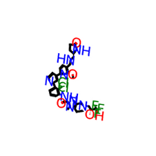 COc1nc(-c2ccnc(-c3cccc(NC(=O)c4nc5c(n4C)CCN(C[C@@H](O)C(F)(F)F)C5)c3Cl)c2Cl)ccc1CNC[C@H]1CCC(=O)N1